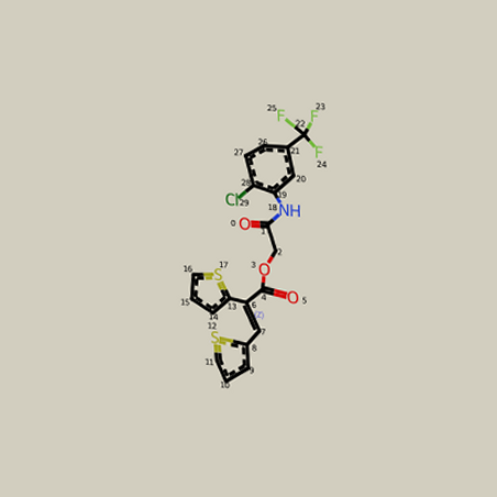 O=C(COC(=O)/C(=C/c1cccs1)c1cccs1)Nc1cc(C(F)(F)F)ccc1Cl